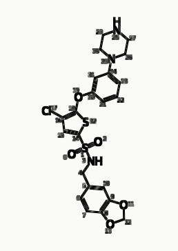 O=S(=O)(NCc1ccc2c(c1)OCO2)c1cc(Cl)c(Oc2cccc(N3CCNCC3)c2)s1